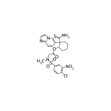 CN(CC(=O)OC1CCCCC1(C(N)=S)c1ccc2nccn2c1)S(=O)(=O)c1ccc(Cl)c([N+](=O)[O-])c1